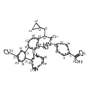 O=C(O)c1ccc(NC(=O)C(CC2CC2)c2ccc(-c3cc(Cl)ccc3-c3cnccn3)c[n+]2[O-])cc1